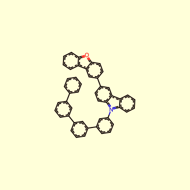 c1ccc(-c2cccc(-c3cccc(-c4cccc(-n5c6ccccc6c6cc(-c7ccc8oc9ccccc9c8c7)ccc65)c4)c3)c2)cc1